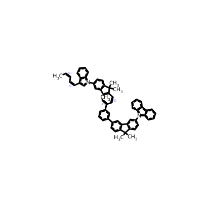 C/C=C\C=C/c1cn(-c2ccc3c(c2)C=C(/C=C\C(=C/C)c2cccc(-c4ccc5c(c4)-c4cc(-n6c7ccccc7c7ccccc76)ccc4C5(C)C)c2)C3(C)C)c2ccccc12